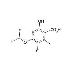 Cc1c(Cl)c(OC(F)F)cc(O)c1C(=O)O